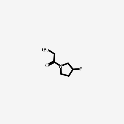 CC(C)(C)CC(=O)N1CCC(F)C1